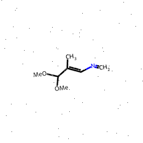 C=N/C=C(\C)C(OC)OC